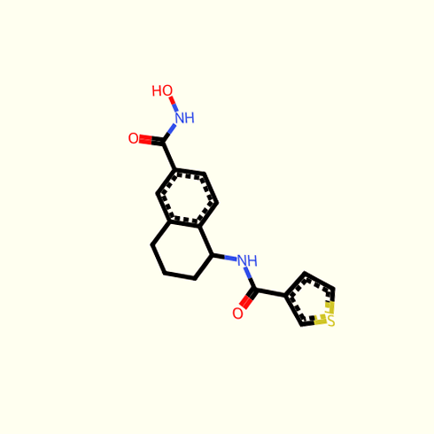 O=C(NO)c1ccc2c(c1)CCCC2NC(=O)c1ccsc1